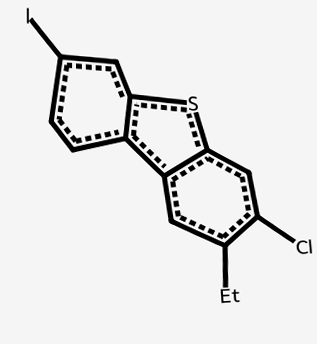 CCc1cc2c(cc1Cl)sc1cc(I)ccc12